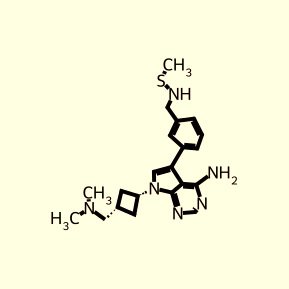 CSNCc1cccc(-c2cn([C@H]3C[C@@H](CN(C)C)C3)c3ncnc(N)c23)c1